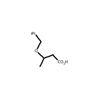 CC(C)COC(C)CC(=O)O